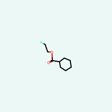 O=C(OCCF)C1CCCCC1